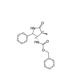 C[C@@H]1C(=O)NC(c2ccccc2)[C@H]1NC(=O)OCc1ccccc1